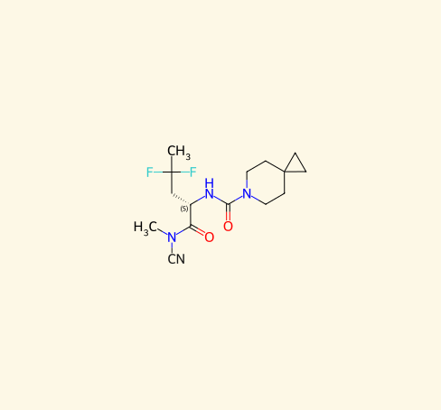 CN(C#N)C(=O)[C@H](CC(C)(F)F)NC(=O)N1CCC2(CC1)CC2